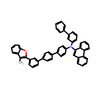 Cc1c(-c2cccc(-c3ccc(-c4ccc(N(c5cccc(-c6ccccc6)c5)c5cc6ccccc6c6ccccc56)cc4)cc3)c2)oc2ccccc12